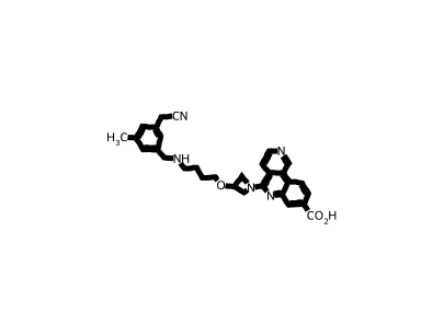 Cc1cc(CC#N)cc(CNCCCCOC2CN(c3nc4cc(C(=O)O)ccc4c4cnccc34)C2)c1